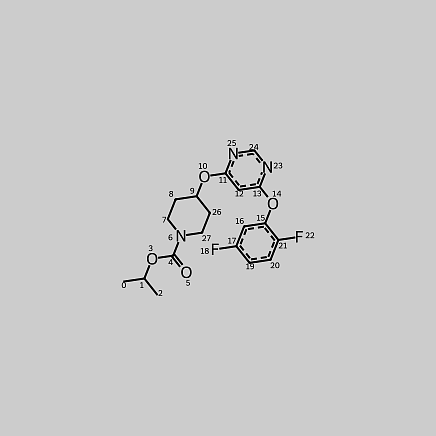 CC(C)OC(=O)N1CCC(Oc2cc(Oc3cc(F)ccc3F)ncn2)CC1